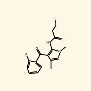 Cc1nn(C)c(NC(=O)CCCl)c1C(=O)c1ccccc1F